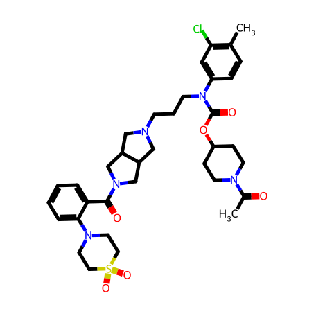 CC(=O)N1CCC(OC(=O)N(CCCN2CC3CN(C(=O)c4ccccc4N4CCS(=O)(=O)CC4)CC3C2)c2ccc(C)c(Cl)c2)CC1